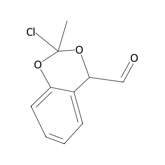 CC1(Cl)Oc2ccccc2C(C=O)O1